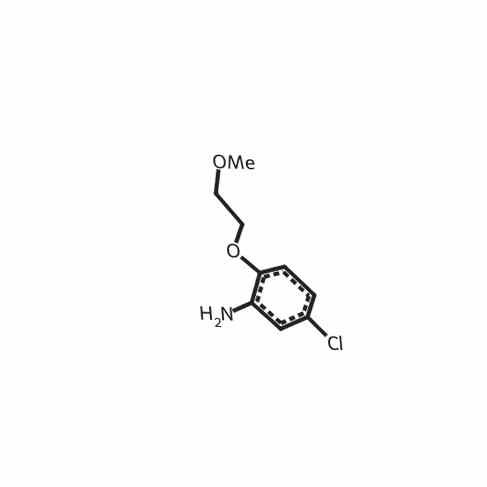 COCCOc1ccc(Cl)cc1N